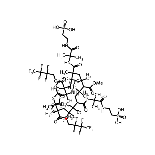 CCC(C)(C(CC(C)(C)C(C(=O)OC)C(C)(C)CC(C)(C(=O)NC(C)(C)C(=O)NCCP(=O)(O)O)C(C)(C)CC(C)(C(=O)OCC(F)(F)C(F)(F)C(F)(F)F)C(C)(N)SC(=S)OC(C)C)C(=O)NC(C)(C)C(=O)NCCP(=O)(O)O)C(C)(N)CC(C)(C(=O)OCC(F)(F)C(F)(F)C(F)(F)F)C(C)(C)SC(=S)OC(C)C